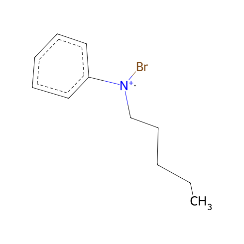 CCCCC[N+](Br)c1ccccc1